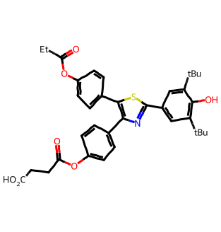 CCC(=O)Oc1ccc(-c2sc(-c3cc(C(C)(C)C)c(O)c(C(C)(C)C)c3)nc2-c2ccc(OC(=O)CCC(=O)O)cc2)cc1